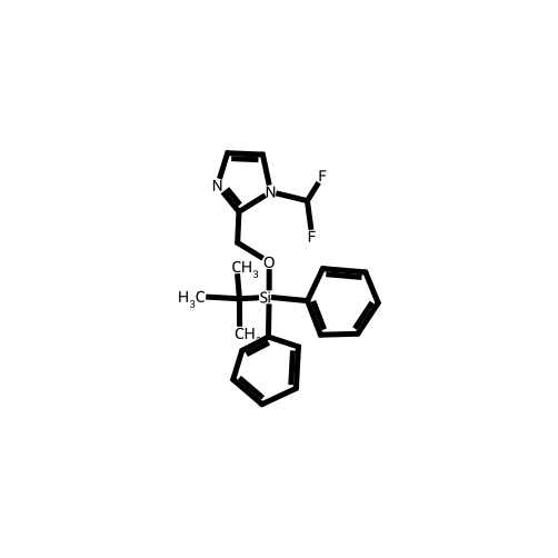 CC(C)(C)[Si](OCc1nccn1C(F)F)(c1ccccc1)c1ccccc1